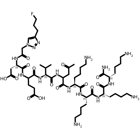 CC(=O)CC(NC(=O)[C@@H](NC(=O)C(CCC(=O)O)NC(=O)[C@H](CC(=O)O)NC(=O)Cn1cc(CCCF)nn1)C(C)C)C(=O)N[C@@H](CCCCN)C(=O)N[C@@H](CCCCN)C(=O)N[C@@H](CCCCN)C(=O)N[C@@H](CCCCN)C(N)=O